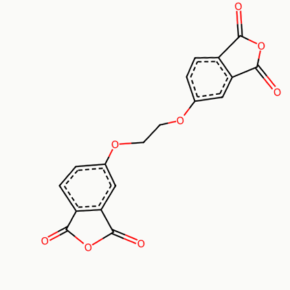 O=C1OC(=O)c2cc(OCCOc3ccc4c(c3)C(=O)OC4=O)ccc21